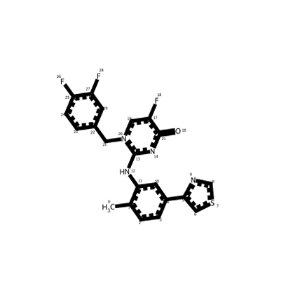 Cc1ccc(-c2cscn2)cc1Nc1nc(=O)c(F)cn1Cc1ccc(F)c(F)c1